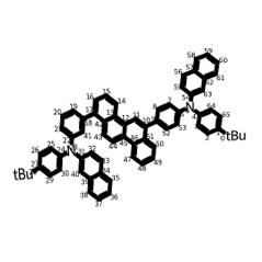 CC(C)(C)c1ccc(N(c2ccc(-c3cc4c5cccc(-c6cccc(N(c7ccc(C(C)(C)C)cc7)c7ccc8ccccc8c7)c6)c5ccc4c4ccccc34)cc2)c2ccc3ccccc3c2)cc1